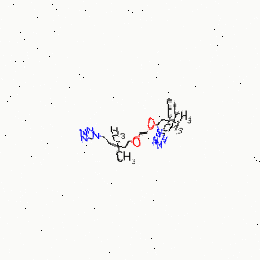 CCC(C)(C)CC(OCCOCCC(C)(C)CCn1cnnn1)n1cnnn1